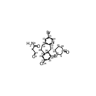 NC(=O)CC=O.O=[N+]1CCC([C@H]2c3ncc(Br)cc3CCc3cc(Cl)cc(Br)c32)CC1